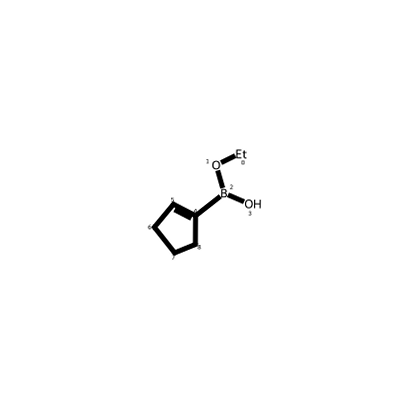 CCOB(O)C1=CCCC1